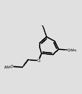 [CH2]c1cc(OC)cc(OCCOC)c1